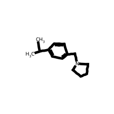 CC(C)c1ccc(CN2CCCC2)cc1